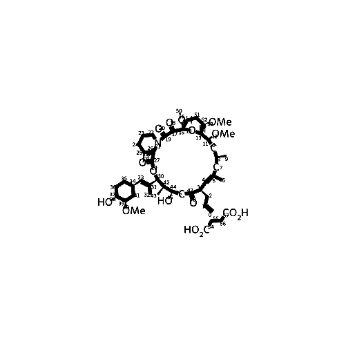 C=CC[C@@H]1/C=C(\C)C[C@H](C)C[C@H](OC)[C@H]2O[C@@](O)(C(=O)C(=O)N3CCCC[C@H]3C(=O)O[C@H](/C(C)=C/[C@@H]3CC[C@@H](O)[C@H](OC)C3)[C@H](C)[C@@H](O)CC1=O)[C@H](C)C[C@@H]2OC.O=C(O)CCC(=O)O